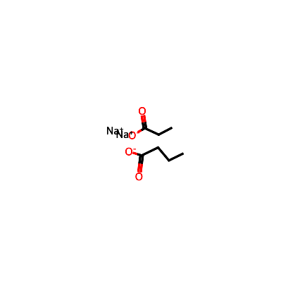 CCC(=O)[O-].CCCC(=O)[O-].[Na+].[Na+]